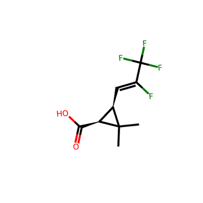 CC1(C)[C@H](C=C(F)C(F)(F)F)[C@@H]1C(=O)O